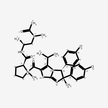 CC(=O)N(C)C[C@H](C)NC(=O)[C@@H]1CCC[N+]1(C)C(=O)C1=C(C(C)C)N2C(=N[C@@](C)(c3ccc(Cl)cc3)[C@H]2c2ccc(Cl)cc2)S1